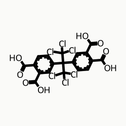 O=C(O)c1ccc(C(c2ccc(C(=O)O)c(C(=O)O)c2)(C(Cl)(Cl)Cl)C(Cl)(Cl)Cl)cc1C(=O)O